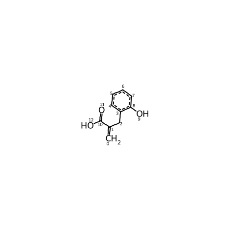 C=C(Cc1ccccc1O)C(=O)O